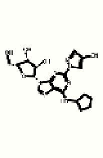 N#Cc1cnn(-c2nc(NC3CCCC3)c3ncn([C@@H]4O[C@H](CO)[C@@H](O)[C@H]4O)c3n2)c1